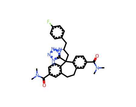 CN(C)C(=O)c1ccc2c(c1)CCc1cc(C(=O)N(C)C)ccc1C2(C[C@H](N)Cc1ccc(F)cc1)c1nnn[nH]1